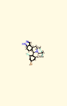 COc1cc(Br)cc(F)c1C1c2ccc3[nH]ncc3c2C[C@@H](C)N1CC(C)(F)F